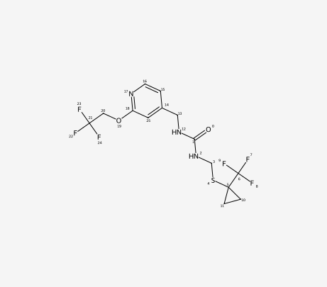 O=C(NCSC1(C(F)(F)F)CC1)NCc1ccnc(OCC(F)(F)F)c1